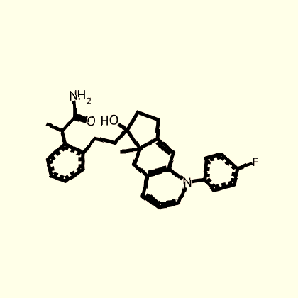 CC(C(N)=O)c1ccccc1CCC1(O)CCC2=CC3=C(C=C=CN3c3ccc(F)cc3)CC21C